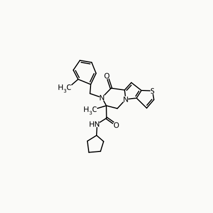 Cc1ccccc1CN1C(=O)c2cc3sccc3n2CC1(C)C(=O)NC1CCCC1